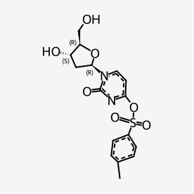 Cc1ccc(S(=O)(=O)Oc2ccn([C@H]3C[C@H](O)[C@@H](CO)O3)c(=O)n2)cc1